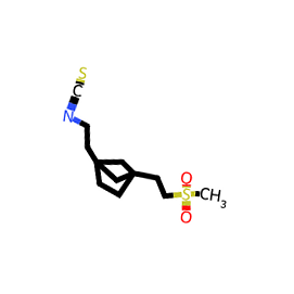 CS(=O)(=O)CCC12CCC(CCN=C=S)(C1)C2